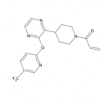 C=CC(=O)N1CCC(c2nccnc2Oc2ccc(C(F)(F)F)cn2)CC1